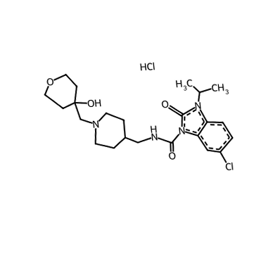 CC(C)n1c(=O)n(C(=O)NCC2CCN(CC3(O)CCOCC3)CC2)c2cc(Cl)ccc21.Cl